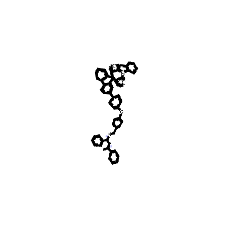 C/C(=C\C(=N/Cc1ccc(Oc2ccc(-c3ccc4c(c3)C3(c5ccccc5-4)c4ccccc4-n4c5ccccc5c5cccc3c54)cc2)cc1)c1ccccc1)c1ccccc1